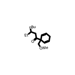 CCCCC(CC)CC(=O)C1(COC)C=CCC=C1